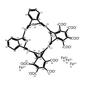 O=C([O-])c1c(C(=O)[O-])c(C(=O)[O-])c2c(c1C(=O)[O-])-c1nc-2nc2[nH]c(nc3nc(nc4[nH]c(n1)c1ccccc41)-c1ccccc1-3)c1c(C(=O)[O-])c(C(=O)[O-])c(C(=O)[O-])c(C(=O)[O-])c21.[Fe+2].[Fe+2].[Fe+2].[Fe+2]